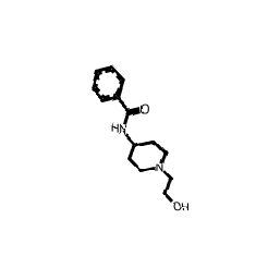 O=C(NC1CCN(CCO)CC1)c1ccccc1